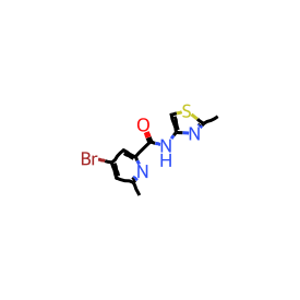 Cc1cc(Br)cc(C(=O)Nc2csc(C)n2)n1